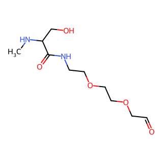 CNC(CO)C(=O)NCCOCCOCC=O